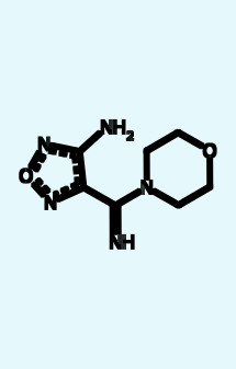 N=C(c1nonc1N)N1CCOCC1